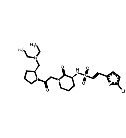 CCN(CC)C[C@@H]1CCCN1C(=O)CN1CCC[C@H](NS(=O)(=O)/C=C/c2ccc(Cl)s2)C1=O